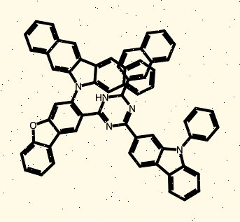 c1ccc(-n2c3ccccc3c3ccc(C4=NC(c5ccc6ccccc6c5)NC(c5cc6c(cc5-n5c7cc8ccccc8cc7c7cc8ccccc8cc75)oc5ccccc56)=N4)cc32)cc1